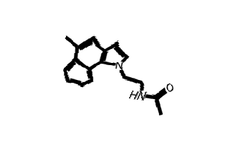 CC(=O)NCCn1ccc2cc(C)c3ccccc3c21